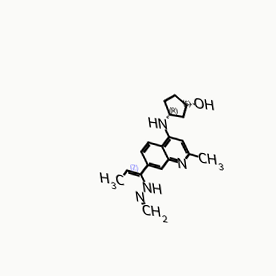 C=NN/C(=C\C)c1ccc2c(N[C@@H]3CC[C@H](O)C3)cc(C)nc2c1